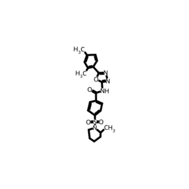 Cc1ccc(-c2nnc(NC(=O)c3ccc(S(=O)(=O)N4CCCCC4C)cc3)o2)c(C)c1